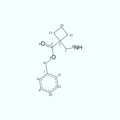 [NH]CC1(C(=O)OCc2ccccc2)CCC1